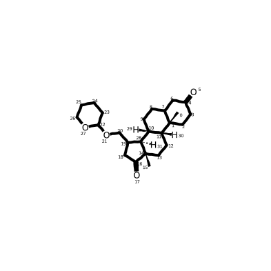 C[C@]12CCC(=O)CC1CC[C@@H]1[C@H]2CC[C@]2(C)C(=O)CC(COC3CCCCO3)[C@@H]12